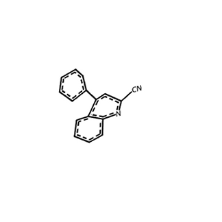 N#Cc1cc(-c2ccccc2)c2ccccc2n1